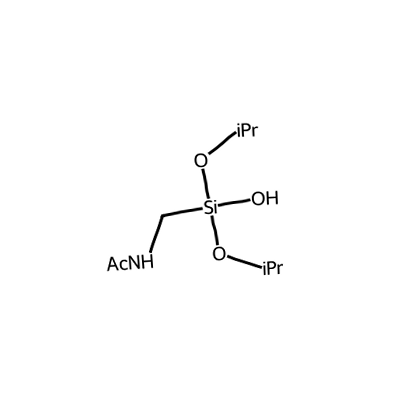 CC(=O)NC[Si](O)(OC(C)C)OC(C)C